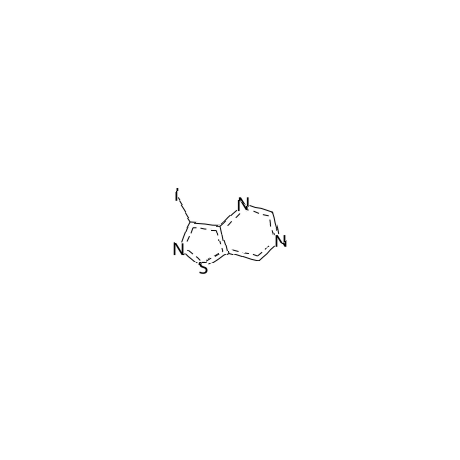 Ic1nsc2cncnc12